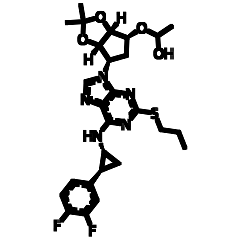 CCCSc1nc(N[C@@H]2C[C@H]2c2ccc(F)c(F)c2)c2ncn([C@@H]3C[C@H](OC(C)O)[C@H]4OC(C)(C)O[C@H]43)c2n1